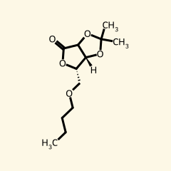 CCCCOC[C@@H]1OC(=O)C2OC(C)(C)O[C@@H]21